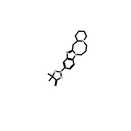 C=C1OB(c2ccc3c(c2)nc2n3CCCN3CCCCC3C2)OC1(C)C